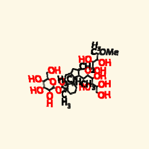 C=C1CC2CCC3[C@](C)(C(=O)OC4OC(CO)C(O)C(O)C4O)CCC[C@@]3(C)[C@@H]2C1C(C)C(OC(O)C(O)C(O)C(C)OC)C(O)C(O)C(O)CO